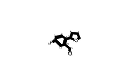 Fc1ccc(C2CCCO2)c(CCl)c1